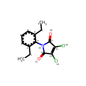 CCc1cccc(CC)c1N1C(=O)C(Cl)=C(Cl)C1=O